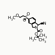 COCCS(=O)(=O)c1ccc2c(c1)CN(C(=O)OC(C)(C)C)C2C#N